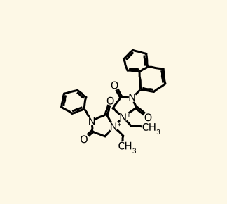 CC[N+]1([N+]2(CC)CC(=O)N(c3cccc4ccccc34)C2=O)CC(=O)N(c2ccccc2)C1=O